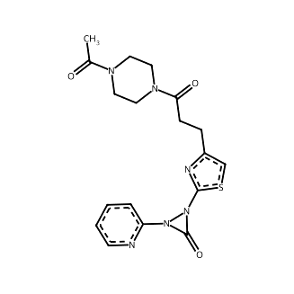 CC(=O)N1CCN(C(=O)CCc2csc(N3C(=O)N3c3ccccn3)n2)CC1